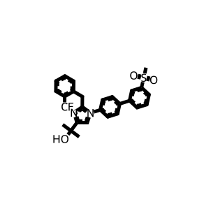 CC(C)(O)c1cn(-c2ccc(-c3cccc(S(C)(=O)=O)c3)cc2)c(Cc2ccccc2C(F)(F)F)n1